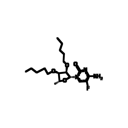 CCCCCO[C@@H]1[C@H](OCCCCC)[C@@H](C)O[C@H]1n1cc(F)c(N)nc1=O